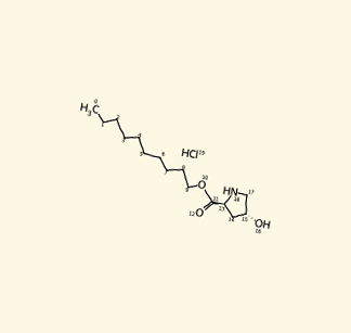 CCCCCCCCCCOC(=O)[C@@H]1C[C@@H](O)CN1.Cl